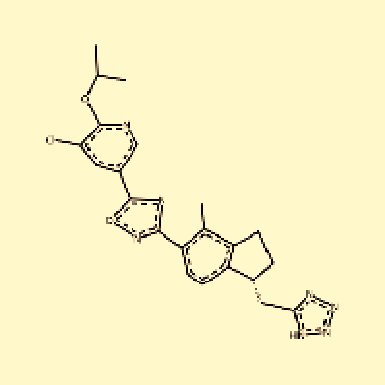 Cc1c(-c2noc(-c3cnc(OC(C)C)c(Cl)c3)n2)ccc2c1CC[C@@H]2Cc1nnn[nH]1